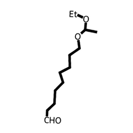 CCOC(C)OCCCCCCCCC=O